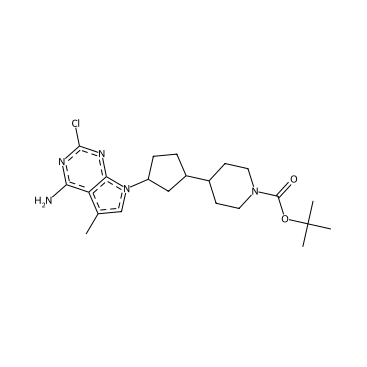 Cc1cn(C2CCC(C3CCN(C(=O)OC(C)(C)C)CC3)C2)c2nc(Cl)nc(N)c12